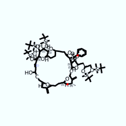 C=C1C[C@@H]2CCC(O)/C=C/[C@H](O[Si](C)(C)C(C)(C)C)[C@@H]3O[C@H]4CCC(CC(=O)C(S(=O)(=O)c5ccccc5)[C@H]5[C@H](CC6O[C@@H](CCC1O2)C[C@@H](C)C6=C)OC(C[C@@H](CO[Si](C)(C)C(C)(C)C)O[Si](C)(C)C(C)(C)C)[C@@H]5OC)O[C@@H]4[C@H](O[Si](C)(C)C(C)(C)C)[C@@H]3O[Si](C)(C)C(C)(C)C